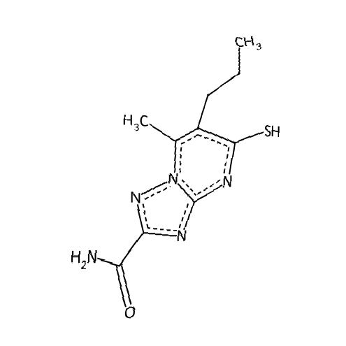 CCCc1c(S)nc2nc(C(N)=O)nn2c1C